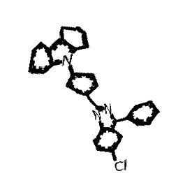 Clc1ccc2nc(-c3ccc(-n4c5c(c6ccccc64)CCC=C5)cc3)nc(-c3ccccc3)c2c1